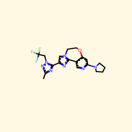 Cc1nc(-c2cn3c(n2)-c2cnc(N4CCCC4)cc2OCC3)n(CC(F)(F)F)n1